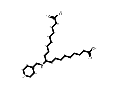 O=C(O)CCCCCCCCC(CCCCCCCCC(=O)O)NCC1CCOCC1